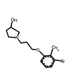 Cc1c(Br)cccc1OCCCN1CCC(O)C1